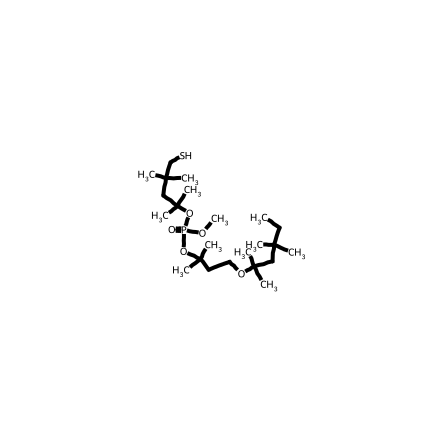 CCC(C)(C)CC(C)(C)OCCC(C)(C)OP(=O)(OC)OC(C)(C)CC(C)(C)CS